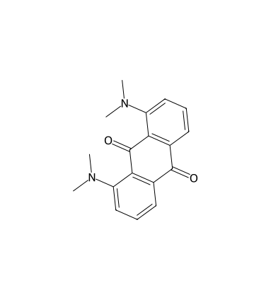 CN(C)c1cccc2c1C(=O)c1c(cccc1N(C)C)C2=O